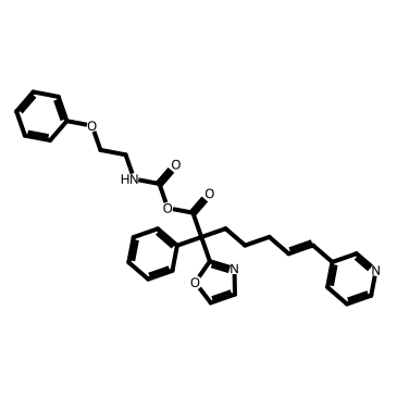 O=C(NCCOc1ccccc1)OC(=O)C(CCCC=Cc1cccnc1)(c1ccccc1)c1ncco1